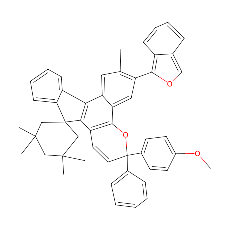 COc1ccc(C2(c3ccccc3)C=Cc3c4c(c5cc(C)c(-c6occ7ccccc67)cc5c3O2)-c2ccccc2C42CC(C)(C)CC(C)(C)C2)cc1